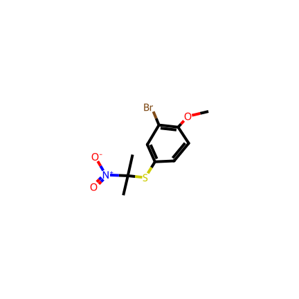 COc1ccc(SC(C)(C)[N+](=O)[O-])cc1Br